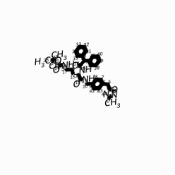 Cc1noc(Cc2ccc(CNC(=O)[C@H](CCCNC(=O)OC(C)(C)C)NC(=O)C(c3ccccc3)c3ccccc3)cc2)n1